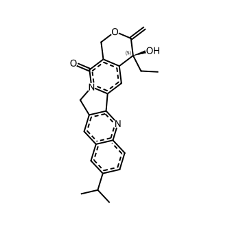 C=C1OCc2c(cc3n(c2=O)Cc2cc4cc(C(C)C)ccc4nc2-3)[C@@]1(O)CC